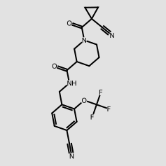 N#Cc1ccc(CNC(=O)C2CCCN(C(=O)C3(C#N)CC3)C2)c(OC(F)(F)F)c1